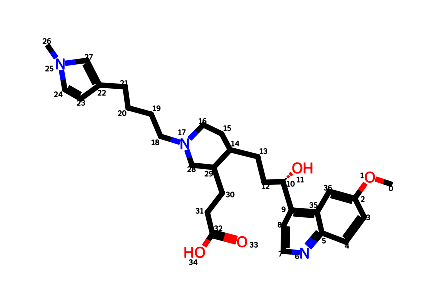 COc1ccc2nccc([C@@H](O)CCC3CCN(CCCCc4ccn(C)c4)CC3CCC(=O)O)c2c1